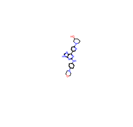 OC1CCCN(c2ccc(-c3nc(Nc4ccc(N5CCOCC5)cc4)nc4[nH]cnc34)cn2)C1